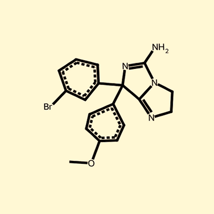 COc1ccc(C2(c3cccc(Br)c3)N=C(N)N3CCN=C32)cc1